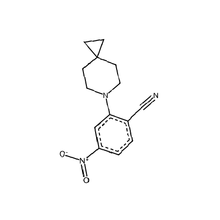 N#Cc1ccc([N+](=O)[O-])cc1N1CCC2(CC1)CC2